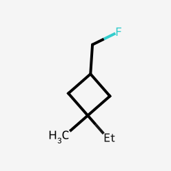 CCC1(C)CC(CF)C1